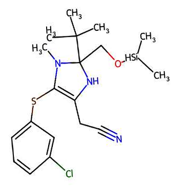 CN1C(Sc2cccc(Cl)c2)=C(CC#N)NC1(CO[SiH](C)C)C(C)(C)C